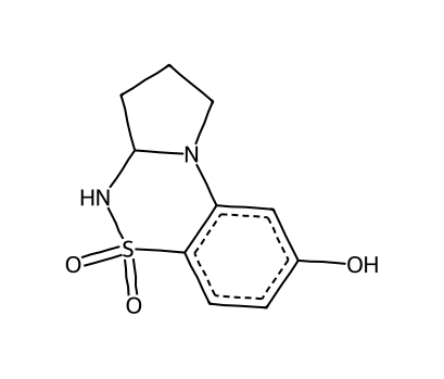 O=S1(=O)NC2CCCN2c2cc(O)ccc21